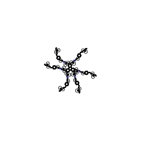 C=CC(=O)OCCc1ccc(OC/C=C/C(=O)Oc2cc3c4cc(OC(=O)/C=C/COc5ccc(CCOC(=O)C=C)cc5)c(OC(=O)/C=C/COc5ccc(CCOC(=O)C=C)cc5)cc4c4cc(OC(=O)/C=C/COc5ccc(CCOC(=O)C=C)cc5)c(OC(=O)/C=C/COc5ccc(CCOC(=O)C=C)cc5)cc4c3cc2OC(=O)/C=C/COc2ccc(CCOC(=O)C=C)cc2)cc1